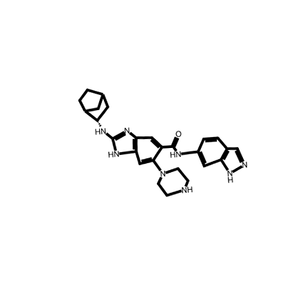 O=C(Nc1ccc2cn[nH]c2c1)c1cc2nc(N[C@H]3CC4CCC3C4)[nH]c2cc1N1CCNCC1